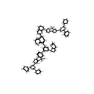 FC1(F)c2cc(-c3cc(-c4cccc5cccnc45)cc(-c4ccc(-c5ccc6cccc(-c7ccc8c(c7)C(F)(F)c7cc(-c9nc(-c%10ccccc%10)nc(-c%10ccccc%10)n9)ccc7-8)c6n5)c5cccnc45)c3)ccc2-c2ccc(-c3nc(-c4ccccc4)nc(-c4ccccc4)n3)cc21